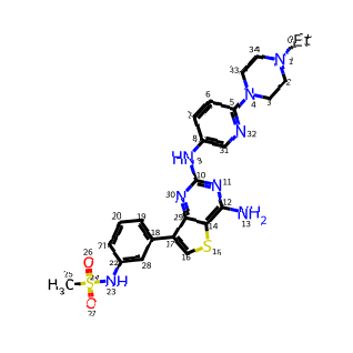 CCN1CCN(c2ccc(Nc3nc(N)c4scc(-c5cccc(NS(C)(=O)=O)c5)c4n3)cn2)CC1